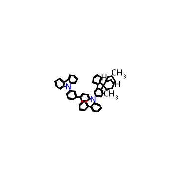 C[C@H]1C[C@@H]2C[C@H](C1)C1(c3ccccc3-c3cc(N(c4ccc(-c5cccc(-n6c7ccccc7c7ccccc76)c5)cc4)c4ccccc4-c4ccccc4)ccc31)[C@H](C)C2